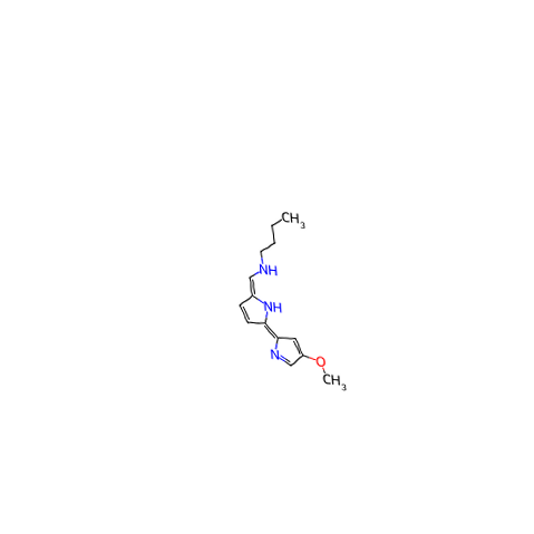 CCCCNC=c1ccc(=C2C=C(OC)C=N2)[nH]1